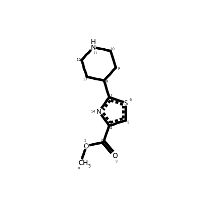 COC(=O)c1csc(C2CCNCC2)n1